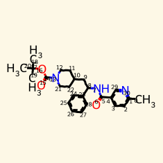 Cc1ccc(C(=O)NC(CC2CCN(C(=O)OC(C)(C)C)CC2)c2ccccc2)cn1